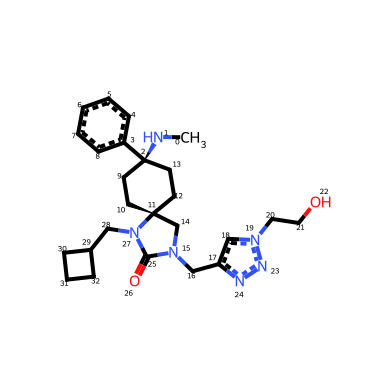 CN[C@]1(c2ccccc2)CC[C@@]2(CC1)CN(Cc1cn(CCO)nn1)C(=O)N2CC1CCC1